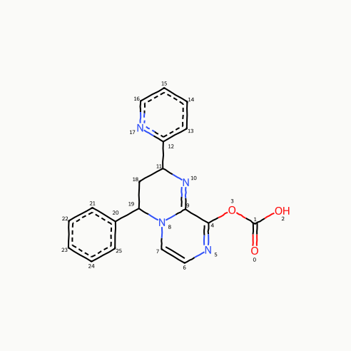 O=C(O)OC1=NC=CN2C1=NC(c1ccccn1)CC2c1ccccc1